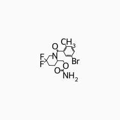 Cc1ccc(Br)cc1C(=O)N1CC(F)(F)CCC1COC(N)=O